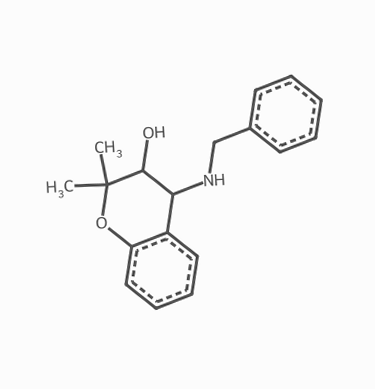 CC1(C)Oc2ccccc2C(NCc2ccccc2)C1O